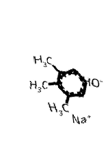 Cc1cccc(C)c1C.[Na+].[OH-]